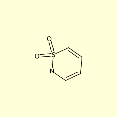 O=S1(=O)C=CC=C[N]1